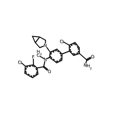 CN(C(=O)c1cccc(Cl)c1F)c1ccc(-c2cc(C(N)=O)ccc2Cl)cc1N1CC2CC2C1